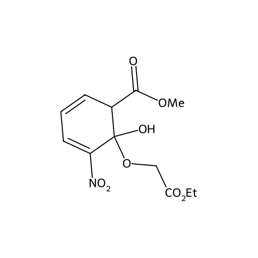 CCOC(=O)COC1(O)C([N+](=O)[O-])=CC=CC1C(=O)OC